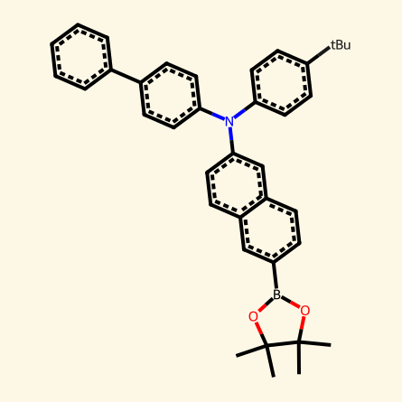 CC(C)(C)c1ccc(N(c2ccc(-c3ccccc3)cc2)c2ccc3cc(B4OC(C)(C)C(C)(C)O4)ccc3c2)cc1